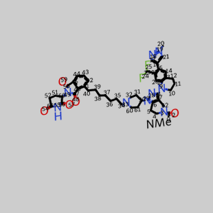 CNC(=O)N1CCc2c(c(N3CCCc4cc(-c5cnn(C)c5)c(C(F)F)cc43)nn2C2CCN(CCCCCCCc3cccc4c3C(=O)N(C3CCC(=O)NC3=O)C4=O)CC2)C1